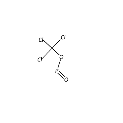 O=POC(Cl)(Cl)Cl